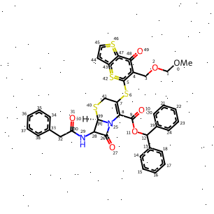 COCOCc1c(SC2=C(C(=O)OC(c3ccccc3)c3ccccc3)N3C(=O)C(NC(=O)Cc4ccccc4)[C@H]3SC2)sc2ccsc2c1=O